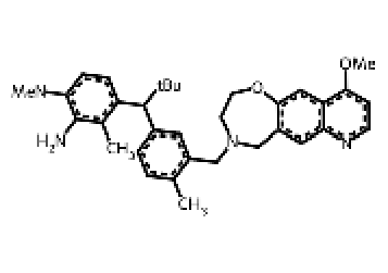 CNc1ccc(C(c2ccc(C)c(CN3CCOc4cc5c(OC)ccnc5cc4C3)c2)C(C)(C)C)c(C)c1N